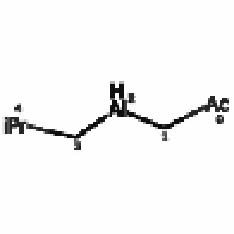 CC(=O)[CH2][AlH][CH2]C(C)C